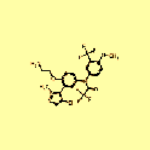 COc1ccc(N(C(=O)C(F)(F)F)c2ccc(OCCN)c(-c3c(Cl)cnn3C)c2)cc1C(F)(F)F